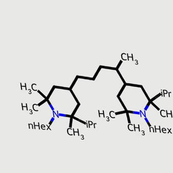 CCCCCCN1C(C)(C)CC(CCCC(C)C2CC(C)(C)N(CCCCCC)C(C)(C(C)C)C2)CC1(C)C(C)C